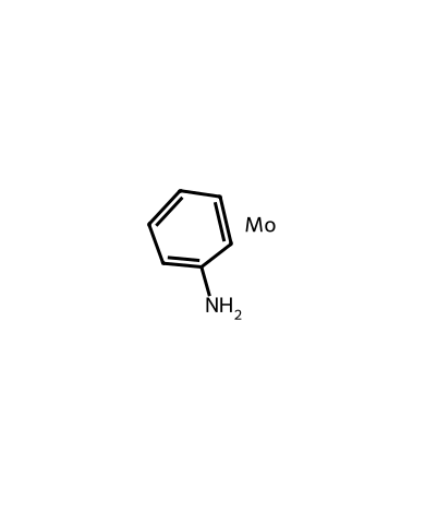 Nc1ccccc1.[Mo]